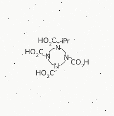 CC(C)C(C(=O)O)N1CCN(CC(=O)O)CCN(CC(=O)O)CCN(CC(=O)O)CC1